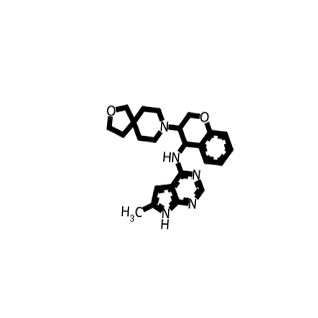 Cc1cc2c(NC3c4ccccc4OCC3N3CCC4(CCOC4)CC3)ncnc2[nH]1